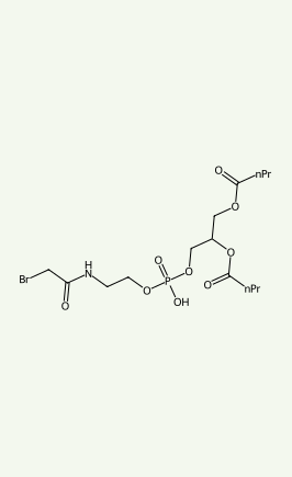 CCCC(=O)OCC(COP(=O)(O)OCCNC(=O)CBr)OC(=O)CCC